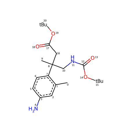 Cc1cc(N)ccc1C(C)(CNC(=O)OC(C)(C)C)CC(=O)OC(C)(C)C